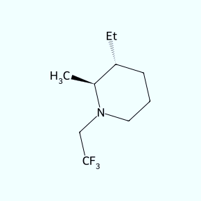 CC[C@@H]1CCCN(CC(F)(F)F)[C@H]1C